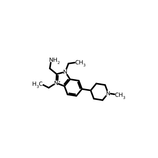 CCn1c(CN)[n+](CC)c2ccc(C3CCN(C)CC3)cc21